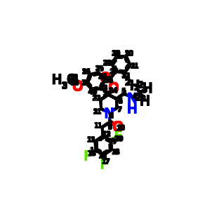 [2H]C([2H])([2H])NCC1CN(C(=O)Cc2cc(F)c(F)cc2F)CCC1(OC(=O)c1ccccc1)c1cccc(OC)c1